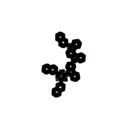 c1ccc2cc(-c3nc(-c4ccc5ccccc5c4)nc(-n4c5ccccc5c5cc(-n6c7ccccc7c7c8c9ccccc9n(-c9ccc%10ccccc%10c9)c8ccc76)ccc54)n3)ccc2c1